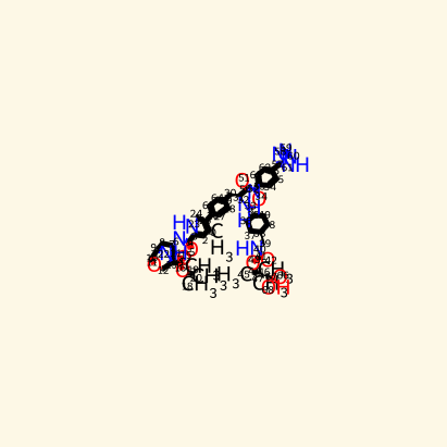 Cc1cc(C(=O)NC2CC3COCC(C(=O)OC(C)(C)C)(C2)N3)ncc1-c1ccc(C[C@H](NC(=O)[C@H]2CC[C@H](CNC(=O)OC(C)(C)C)CC2)C(=O)Nc2ccc(-c3nnn[nH]3)cc2)cc1.O=CO